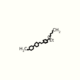 C=CCCCOC(CC)c1ccc(CCC2CCC(C3CCC(C=C)CC3)CC2)cc1